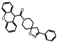 O=C(C1c2ccccc2Oc2ccccc21)N1CCC2(CC1)CC(c1ccccc1)=NO2